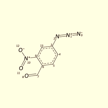 [N-]=[N+]=Nc1ccc(C=O)c([N+](=O)[O-])c1